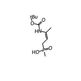 C/C(=C/CP(C)(=O)O)NC(=O)OC(C)(C)C